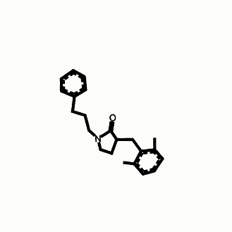 Cc1cccc(C)c1CC1CCN(CCCc2ccccc2)C1=O